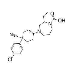 CCC1CN(C2CCC(C#N)(c3ccc(Cl)cc3)CC2)CCCN1C(=O)O